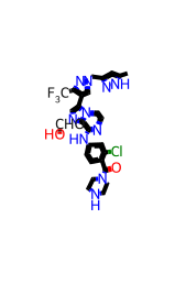 Cc1cc(Cn2cc(-c3cnc4c(Nc5ccc(C(=O)N6CCNCC6)c(Cl)c5)nccn34)c(C(F)(F)F)n2)n[nH]1.O=CO